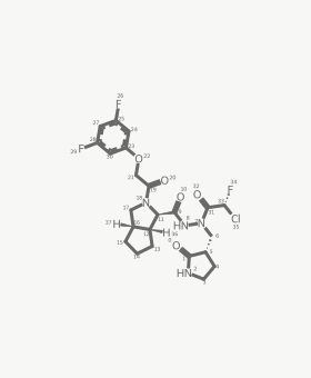 O=C1NCC[C@H]1CN(NC(=O)[C@H]1[C@@H]2CCC[C@@H]2CN1C(=O)COc1cc(F)cc(F)c1)C(=O)[C@H](F)Cl